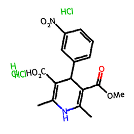 COC(=O)C1=C(C)NC(C)=C(C(=O)O)C1c1cccc([N+](=O)[O-])c1.Cl.Cl.Cl